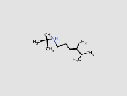 CC(C)C(C)CCCNC(C)(C)C